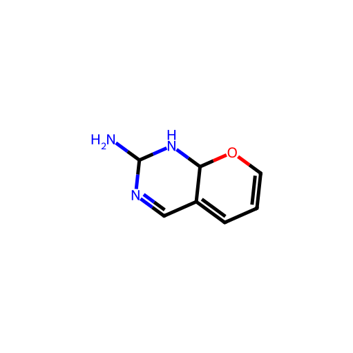 NC1N=CC2=CC=COC2N1